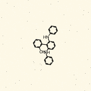 Oc1ccccc1-c1c(Nc2ccccc2)cccc1Nc1ccccc1